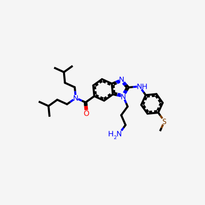 CSc1ccc(Nc2nc3ccc(C(=O)N(CCC(C)C)CCC(C)C)cc3n2CCCN)cc1